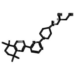 CC1(C)CCC(C)(C)c2cc(-c3ccnc(N4CCC(NC[C@@H](O)CO)CC4)n3)ccc21